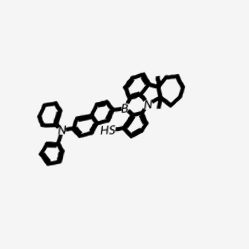 CC12CCCCCC1(C)N1c3cccc(S)c3B(c3ccc4cc(N(C5=CCCCC5)c5ccccc5)ccc4c3)c3cccc2c31